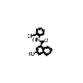 O=C(Nc1ccccc1Cl)c1cc(O)cc2ccccc12